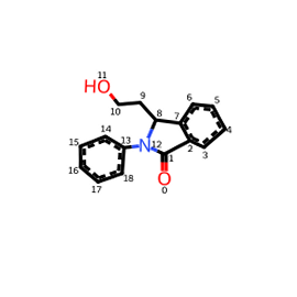 O=C1c2ccccc2C(CCO)N1c1ccccc1